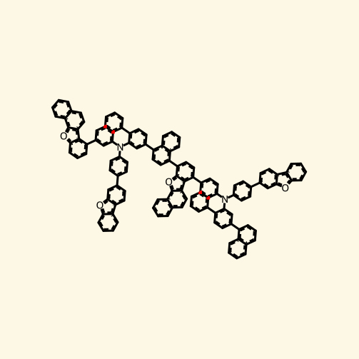 c1ccc(-c2ccc(-c3cccc4ccccc34)cc2N(c2ccc(-c3ccc4c(c3)oc3ccccc34)cc2)c2ccc(-c3ccc(-c4ccc(-c5ccc(-c6ccccc6)c(N(c6ccc(-c7ccc8c(c7)oc7ccccc78)cc6)c6cccc(-c7cccc8oc9c%10ccccc%10ccc9c78)c6)c5)c5ccccc45)c4oc5c6ccccc6ccc5c34)cc2)cc1